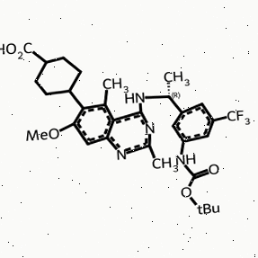 COc1cc2nc(C)nc(N[C@H](C)c3cc(NC(=O)OC(C)(C)C)cc(C(F)(F)F)c3)c2c(C)c1C1CCC(C(=O)O)CC1